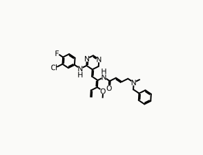 C=C/C(OC)=C(\C=C1/CN=CN=C1Nc1ccc(F)c(Cl)c1)NC(=O)/C=C/CN(C)Cc1ccccc1